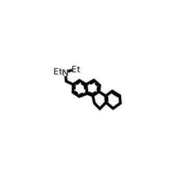 CCN(CC)Cc1ccc2c3c(ccc2c1)C1=C(CCC=C1)CC3